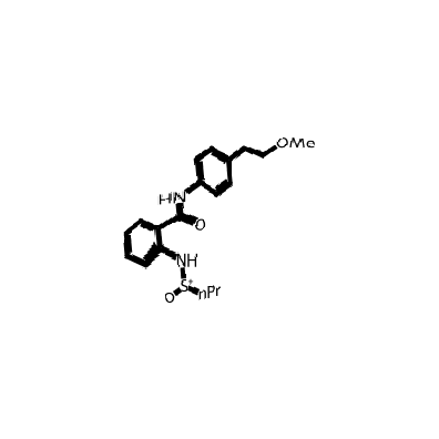 CCC[S+]([O-])Nc1ccccc1C(=O)Nc1ccc(CCOC)cc1